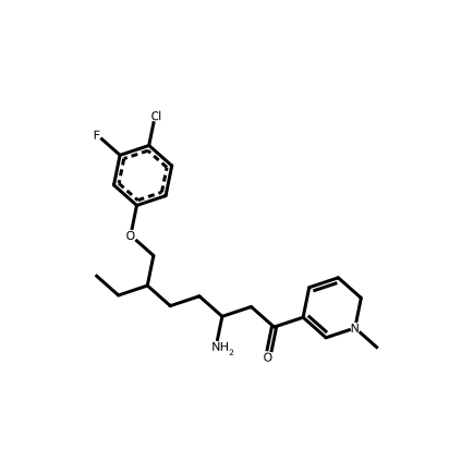 CCC(CCC(N)CC(=O)C1=CN(C)CC=C1)COc1ccc(Cl)c(F)c1